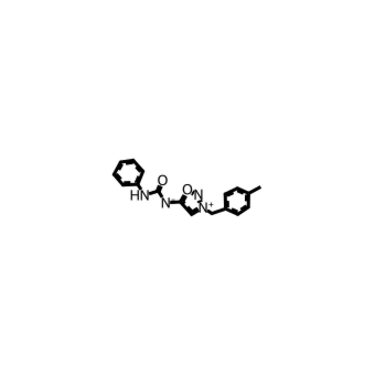 Cc1ccc(C[n+]2cc([N-]C(=O)Nc3ccccc3)on2)cc1